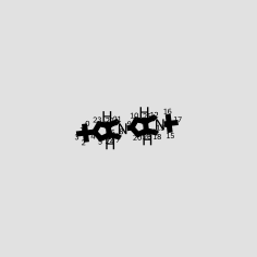 CC(C)(C)C1C[C@@H]2CN(C3C[C@@H]4CN(C(C)(C)C)C[C@@H]4C3)C[C@@H]2C1